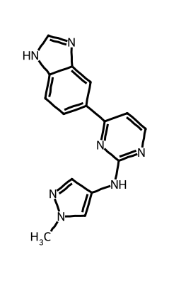 Cn1cc(Nc2nccc(-c3ccc4[nH]cnc4c3)n2)cn1